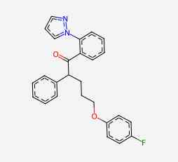 O=C(c1ccccc1-n1cccn1)C(CCCOc1ccc(F)cc1)c1ccccc1